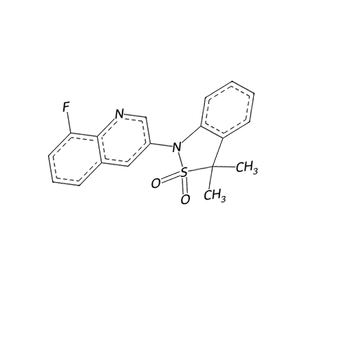 CC1(C)c2ccccc2N(c2cnc3c(F)cccc3c2)S1(=O)=O